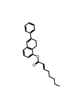 CCCCCC=CC(=O)Oc1cccc2c1CCC(c1ccccc1)=C2